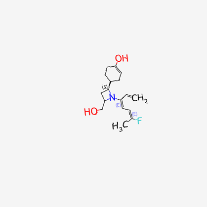 C=C/C(=C\C=C(/C)F)N1C(CO)C[C@H]1C1CC=C(O)CC1